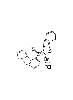 [Cl-].[Cl-].[S]=[Zr+2]([C]1=C2C=c3ccccc3=C2SC1Br)[c]1cccc2c1-c1ccccc1C2